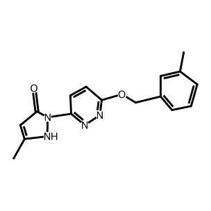 Cc1cccc(COc2ccc(-n3[nH]c(C)cc3=O)nn2)c1